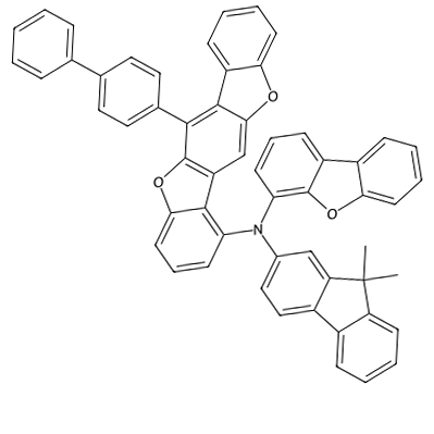 CC1(C)c2ccccc2-c2ccc(N(c3cccc4c3oc3ccccc34)c3cccc4oc5c(-c6ccc(-c7ccccc7)cc6)c6c(cc5c34)oc3ccccc36)cc21